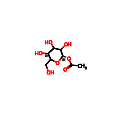 CC(=O)O[C@@H]1OC(CO)[C@@H](O)C(O)C1O